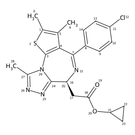 Cc1sc2c(c1C)C(c1ccc(Cl)cc1)=N[C@@H](CC(=O)OC1CC1)c1nnc(C)n1-2